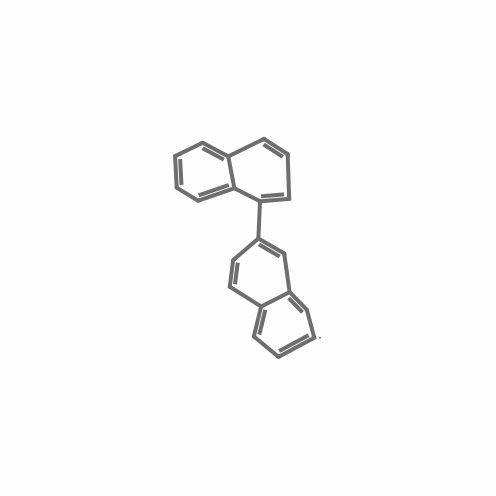 [c]1ccc2ccc(-c3cccc4ccccc34)cc2c1